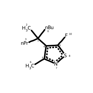 CCCCC(C)(CCC)c1c(C)nsc1F